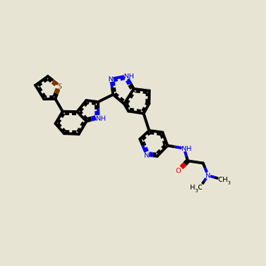 CN(C)CC(=O)Nc1cncc(-c2ccc3[nH]nc(-c4cc5c(-c6cccs6)cccc5[nH]4)c3c2)c1